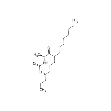 CCCCCCCCC(CCCCCCC)C(=O)[C@H](C)NC(C)=O